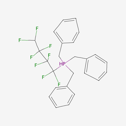 FC(F)C(F)(F)C(F)(F)C(F)(F)[PH](Cc1ccccc1)(Cc1ccccc1)Cc1ccccc1